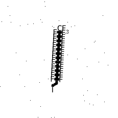 FC(F)(F)C(F)(F)C(F)(F)C(F)(F)C(F)(F)C(F)(F)C(F)(F)C(F)(F)C(F)(F)C(F)(F)C(F)(F)C(F)(F)C(F)(F)CCI